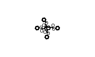 O=C(Oc1ccccc1)C12CC3(C(=O)Oc4ccccc4)CC(C(=O)Oc4ccccc4)(C1)CC(C(=O)Oc1ccccc1)(C2)C3